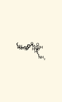 C=C(N/C=C\C)NCCCn1ncc2cc(C(=O)NC[C@H](NC(=O)CCCCCN)C(=O)O)ccc21